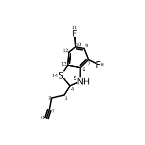 C#CCCC1Nc2c(F)cc(F)cc2S1